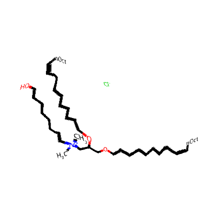 CCCCCCCC/C=C\CCCCCCCCOCC(C[N+](C)(C)CCCCCCCCO)OCCCCCCCC/C=C\CCCCCCCC.[Cl-]